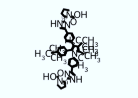 CC(C)(C)c1ccc(-c2c(-c3ccc(-c4c[nH]c([C@@H]5CCCN5C(=O)O)n4)cc3)c(C(C)(C)C)c(C(C)(C)C)n2-c2ccc(-c3c[nH]c([C@@H]4CCCN4C(=O)O)n3)cc2)cc1